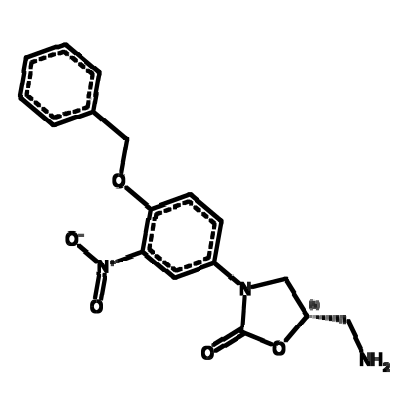 NC[C@H]1CN(c2ccc(OCc3ccccc3)c([N+](=O)[O-])c2)C(=O)O1